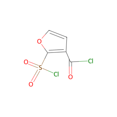 O=C(Cl)c1ccoc1S(=O)(=O)Cl